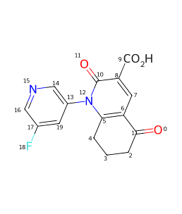 O=C1CCCc2c1cc(C(=O)O)c(=O)n2-c1cncc(F)c1